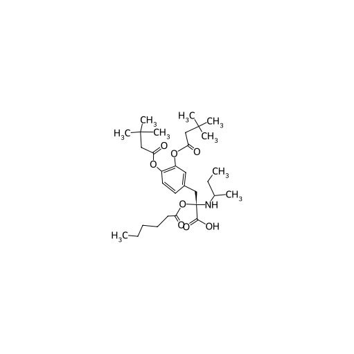 CCCCCC(=O)O[C@](Cc1ccc(OC(=O)CC(C)(C)C)c(OC(=O)CC(C)(C)C)c1)(NC(C)CC)C(=O)O